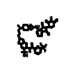 CN(CCCn1cc2cc(NC(=O)c3cccc(C(F)(F)F)n3)c(C(C)(C)O)cc2n1)C1CCC2(CC1)CC(Nc1cccc3c1C(=O)N(C1CCC(=O)NC1=O)C3=O)C2